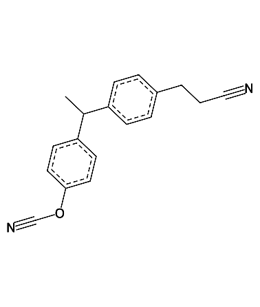 CC(c1ccc(CCC#N)cc1)c1ccc(OC#N)cc1